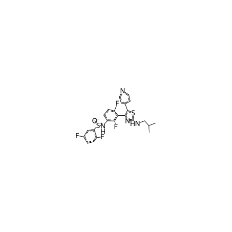 CC(C)CNc1nc(-c2c(F)ccc(N[S+]([O-])c3cc(F)ccc3F)c2F)c(-c2ccncc2)s1